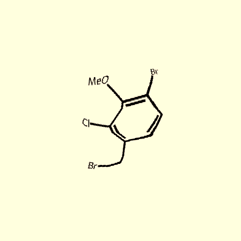 COc1c(Br)ccc(CBr)c1Cl